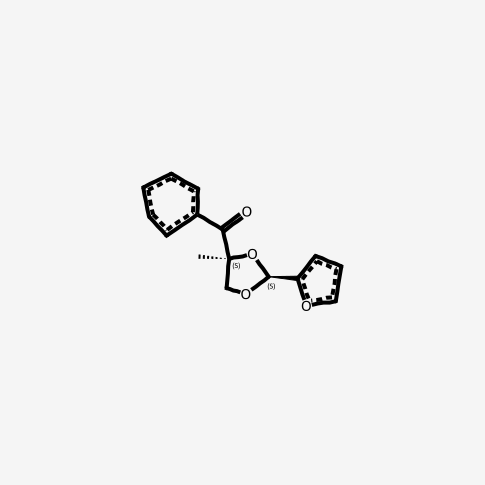 C[C@@]1(C(=O)c2ccccc2)CO[C@H](c2ccco2)O1